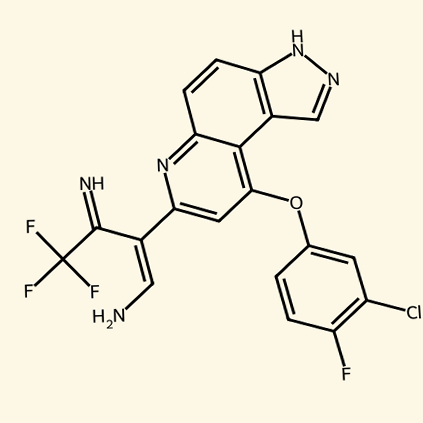 N=C(/C(=C\N)c1cc(Oc2ccc(F)c(Cl)c2)c2c(ccc3[nH]ncc32)n1)C(F)(F)F